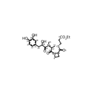 CCOC(=O)CCSC(=O)C1CCN1C(=O)C(C)N(C)C(=O)C(O)Cc1ccc(O)c(O)c1